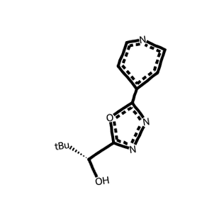 CC(C)(C)[C@@H](O)c1nnc(-c2ccncc2)o1